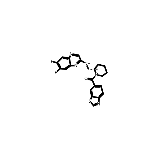 O=C(c1ccc2ncsc2c1)N1CCCC[C@H]1CNc1cnc2cc(F)c(F)cc2n1